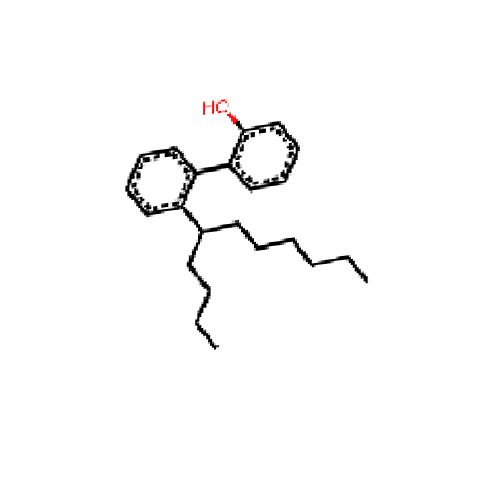 CCCCCCC(CCCC)c1ccccc1-c1ccccc1O